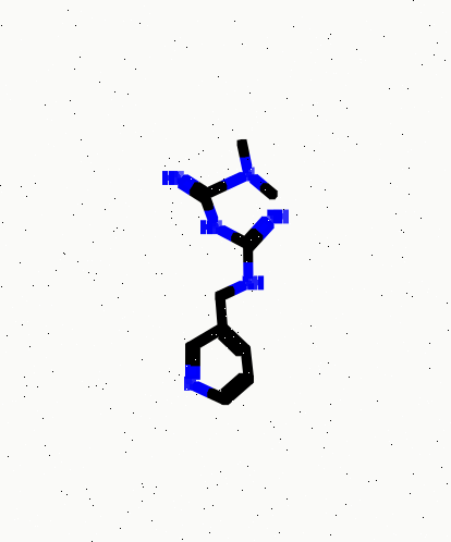 CN(C)C(=N)NC(=N)NCc1cccnc1